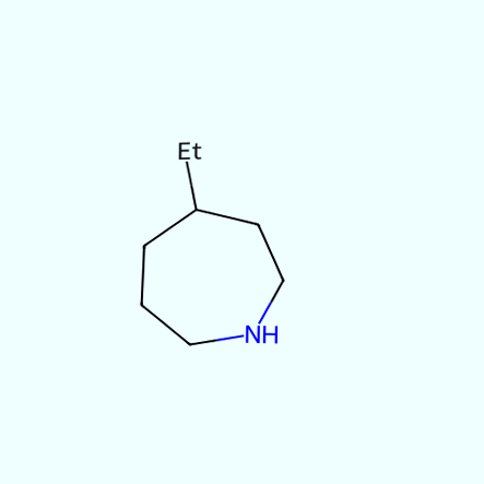 [CH2]CC1CCCNCC1